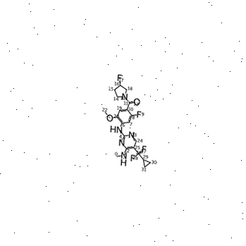 CNc1nc(Nc2cc(F)c(C(=O)N3CC[C@@H](F)C3)cc2OC)ncc1C(F)(F)C1CC1